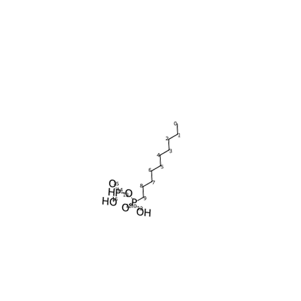 CCCCCCCCCCP(=O)(O)O[PH](=O)O